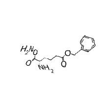 NOC(=O)[C@@H](N)CCCC(=O)OCc1ccccc1